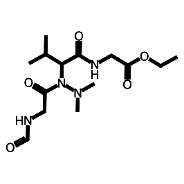 CCOC(=O)CNC(=O)C(C(C)C)N(C(=O)CNC=O)N(C)C